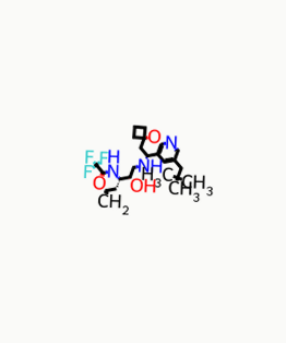 C=CC[C@H](NC(=O)C(F)(F)F)[C@H](O)CN[C@H]1CC2(CCC2)Oc2ncc(CC(C)(C)C)cc21